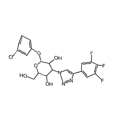 OCC1OC(Oc2cccc(Cl)c2)C(O)C(n2cc(-c3cc(F)c(F)c(F)c3)nn2)C1O